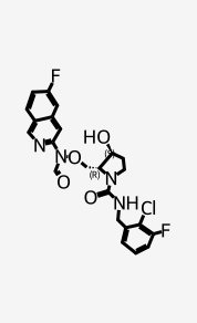 O=CN(OC[C@@H]1[C@@H](O)CCN1C(=O)NCc1cccc(F)c1Cl)c1cc2cc(F)ccc2cn1